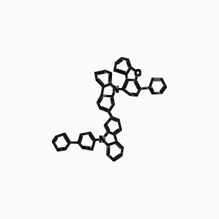 c1ccc(-c2ccc(-n3c4ccccc4c4ccc(-c5ccc6c7ccccc7n(-c7ccc(-c8ccccc8)c8oc9ccccc9c78)c6c5)cc43)cc2)cc1